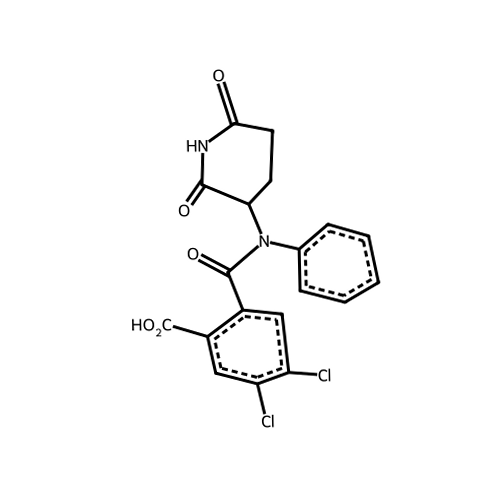 O=C1CCC(N(C(=O)c2cc(Cl)c(Cl)cc2C(=O)O)c2ccccc2)C(=O)N1